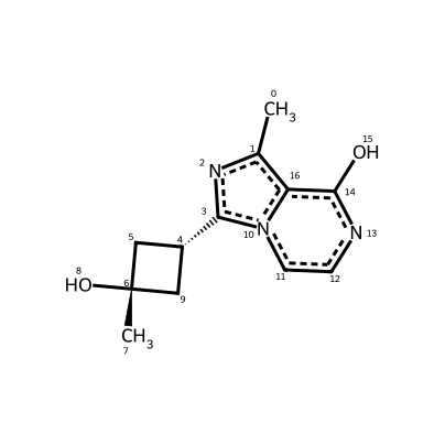 Cc1nc([C@H]2C[C@@](C)(O)C2)n2ccnc(O)c12